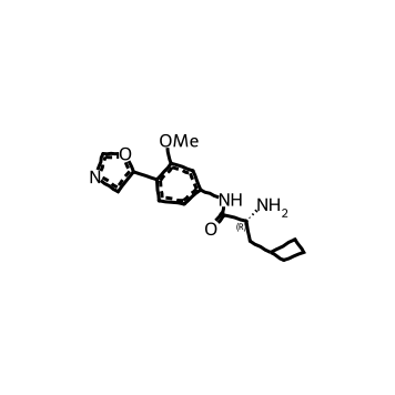 COc1cc(NC(=O)[C@H](N)CC2CCC2)ccc1-c1cnco1